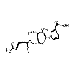 O=C(O)/C=C/C(=O)OC[C@H]1O[C@@H](N2C=CCC(C(=O)O)=C2)[C@H](O)[C@@H]1O